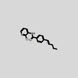 CCC/C=C/c1ccc(C(=O)Nc2cccnc2Cl)cc1